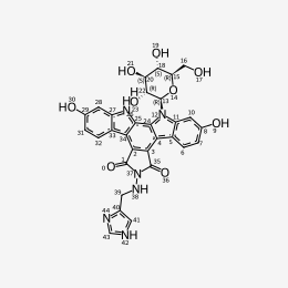 O=C1c2c(c3c4ccc(O)cc4n([C@@H]4O[C@H](CO)[C@@H](O)[C@H](O)[C@H]4O)c3c3[nH]c4cc(O)ccc4c23)C(=O)N1NCc1c[nH]cn1